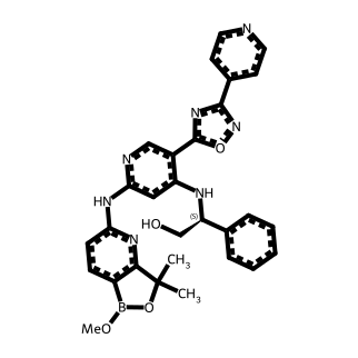 COB1OC(C)(C)c2nc(Nc3cc(N[C@H](CO)c4ccccc4)c(-c4nc(-c5ccncc5)no4)cn3)ccc21